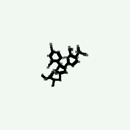 COC(=O)C(C)Cc1nc(-c2ccc([N+](=O)[O-])c(O)n2)c(-c2ccc(F)cc2F)[nH]1